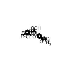 CC1CN(c2ccc(-n3cc(C(=O)O)c(=O)n(Cc4cccc(C(F)(F)F)c4Cl)c3=O)cc2)C(=O)N1